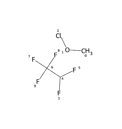 COCl.FC(F)C(F)(F)F